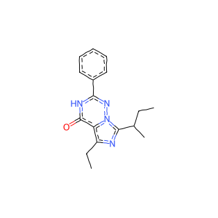 CCc1nc(C(C)CC)n2nc(-c3ccccc3)[nH]c(=O)c12